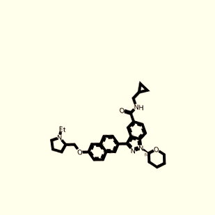 CCN1CCCC1COc1ccc2cc(-c3nn([C@@H]4CCCCO4)c4ccc(C(=O)NCC5CC5)cc34)ccc2c1